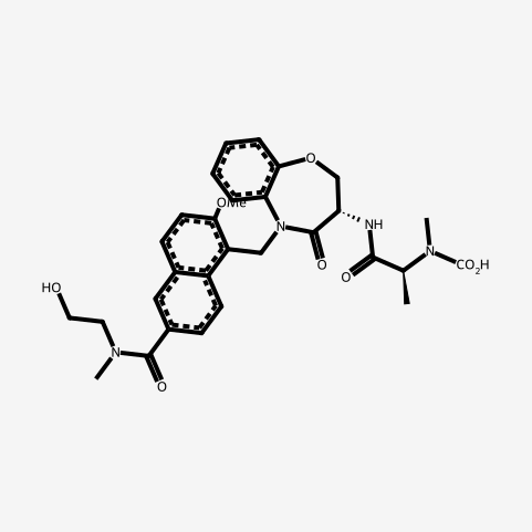 COc1ccc2cc(C(=O)N(C)CCO)ccc2c1CN1C(=O)[C@@H](NC(=O)[C@H](C)N(C)C(=O)O)COc2ccccc21